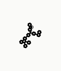 c1ccc(-c2c(-c3ccccc3)c3cc(-c4ccc(N(c5ccc(-c6cccc7ccccc67)cc5)c5ccc6c(c5)oc5ccccc56)cc4)ccc3c3ccccc23)cc1